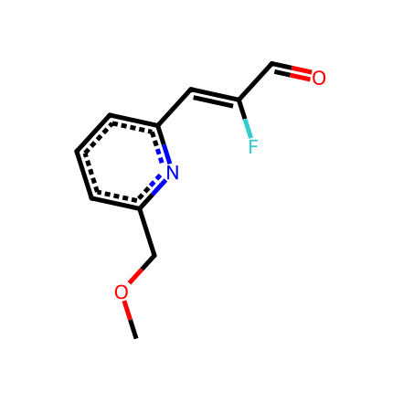 COCc1cccc(C=C(F)C=O)n1